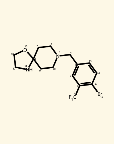 FC(F)(F)c1cc(CN2CCC3(CC2)NCCO3)ccc1Br